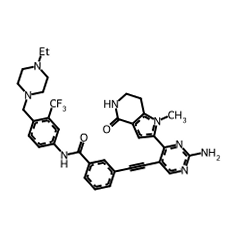 CCN1CCN(Cc2ccc(NC(=O)c3cccc(C#Cc4cnc(N)nc4-c4cc5c(n4C)CCNC5=O)c3)cc2C(F)(F)F)CC1